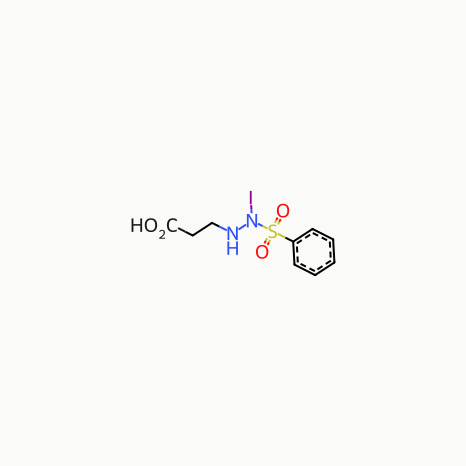 O=C(O)CCNN(I)S(=O)(=O)c1ccccc1